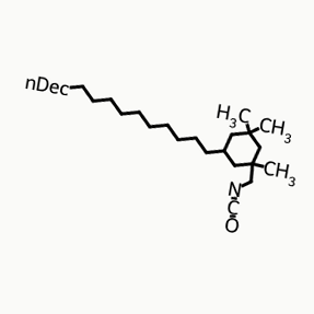 CCCCCCCCCCCCCCCCCCCCC1CC(C)(C)CC(C)(CN=C=O)C1